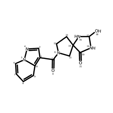 O=C(c1cnn2ccccc12)N1CCC2(C1)NC(O)NC2=O